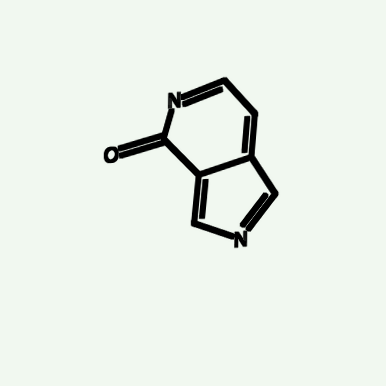 O=C1N=CC=C2C=NC=C12